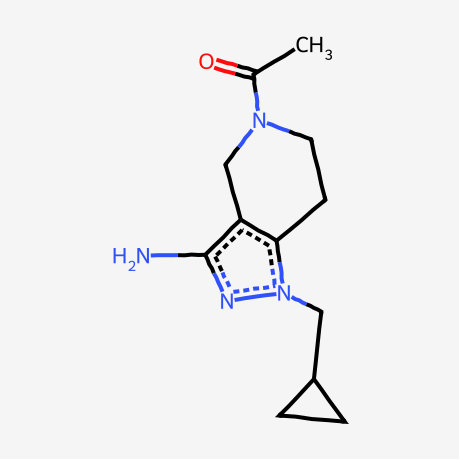 CC(=O)N1CCc2c(c(N)nn2CC2CC2)C1